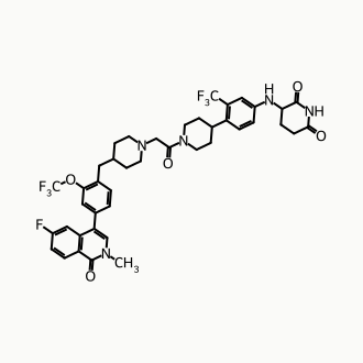 Cn1cc(-c2ccc(CC3CCN(CC(=O)N4CCC(c5ccc(NC6CCC(=O)NC6=O)cc5C(F)(F)F)CC4)CC3)c(OC(F)(F)F)c2)c2cc(F)ccc2c1=O